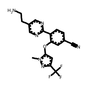 Cn1nc(C(F)(F)F)cc1Oc1cc(C#N)ccc1-c1ncc(CCN)cn1